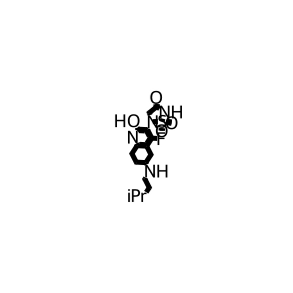 CC(C)CCNC1CCc2nc(O)c(N3CC(=O)NS3(=O)=O)c(F)c2C1